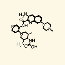 C[C@@H]1CN(c2ccncc2NC(=O)c2nc3cc(N4CCN(C)CC4)ccc3cc2N)C[C@H](N)[C@H]1NC(=O)O